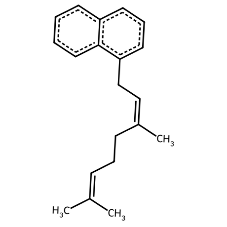 CC(C)=CCCC(C)=CCc1cccc2ccccc12